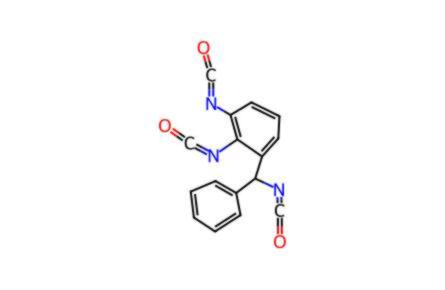 O=C=Nc1cccc(C(N=C=O)c2ccccc2)c1N=C=O